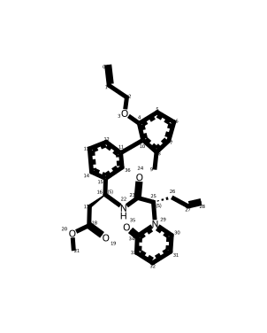 C=CCOc1cccc(C)c1-c1cccc([C@H](CC(=O)OC)NC(=O)[C@H](CC=C)n2ccccc2=O)c1